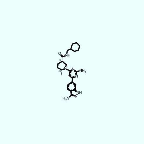 C[C@@H]1CC[C@H](C(=O)NCC2CCCCC2)CN1c1cc(-c2ccc3c(N)n[nH]c3c2)nc(N)n1